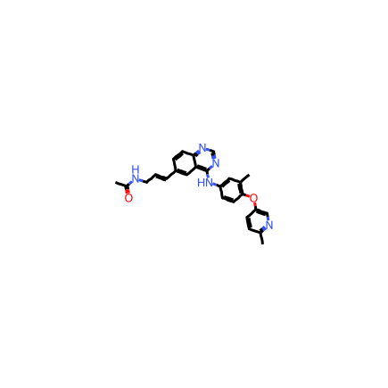 CC(=O)NCC=Cc1ccc2ncnc(Nc3ccc(Oc4ccc(C)nc4)c(C)c3)c2c1